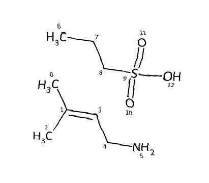 CC(C)=CCN.CCCS(=O)(=O)O